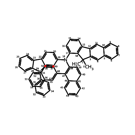 CC1(C)c2cc3ccccc3cc2-c2cccc(N(c3ccc4c5ccccc5n(-c5ccccc5)c4c3)c3ccc4ccccc4c3-c3ccc4ccccc4c3)c21